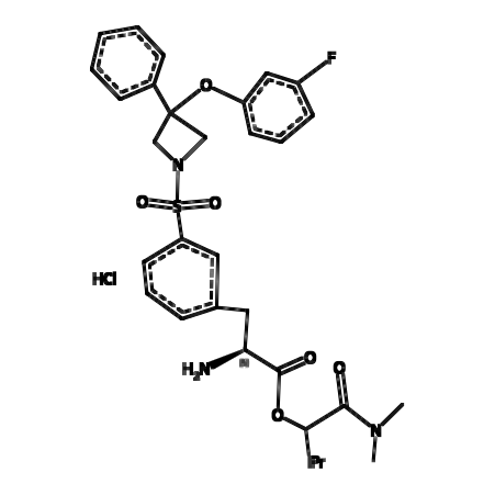 CC(C)C(OC(=O)[C@@H](N)Cc1cccc(S(=O)(=O)N2CC(Oc3cccc(F)c3)(c3ccccc3)C2)c1)C(=O)N(C)C.Cl